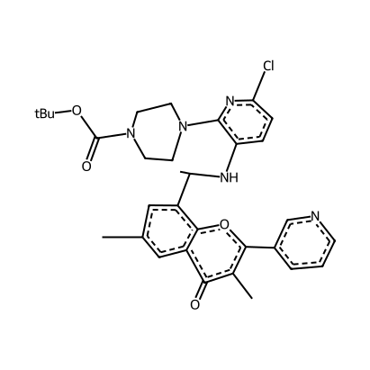 Cc1cc(C(C)Nc2ccc(Cl)nc2N2CCN(C(=O)OC(C)(C)C)CC2)c2oc(-c3cccnc3)c(C)c(=O)c2c1